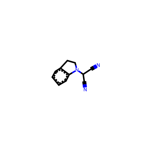 N#CC(C#N)N1CCc2ccccc21